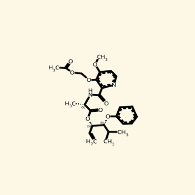 C=C[C@H](OC(=O)[C@H](C)NC(=O)c1nccc(OC)c1OCOC(C)=O)[C@H](Oc1ccccc1)C(C)C